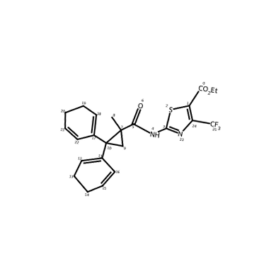 CCOC(=O)c1sc(NC(=O)C2(C)CC2(C2=CCCC=C2)C2=CCCC=C2)nc1C(F)(F)F